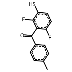 Cc1ccc(C(=O)c2c(F)ccc(S)c2F)cc1